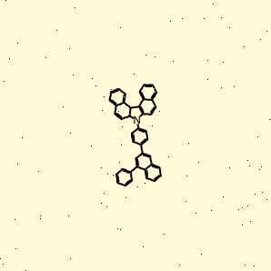 C1=CC2C(c3ccccc31)c1c(ccc3ccccc13)N2c1ccc(-c2cc(-c3ccccc3)c3ccccc3c2)cc1